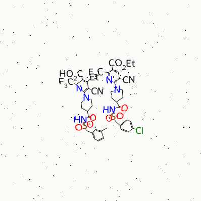 CCOC(=O)c1cc(C#N)c(N2CCC(C(=O)NS(=O)(=O)Cc3ccc(Cl)cc3)CC2)nc1C(F)(F)F.CCc1c(C#N)c(N2CCC(C(=O)NS(=O)(=O)Cc3cccc(C)c3)CC2)nc(C(F)(F)F)c1C(=O)O